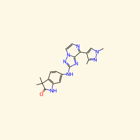 Cc1nn(C)cc1-c1nccn2nc(Nc3ccc4c(c3)NC(=O)C4(C)C)nc12